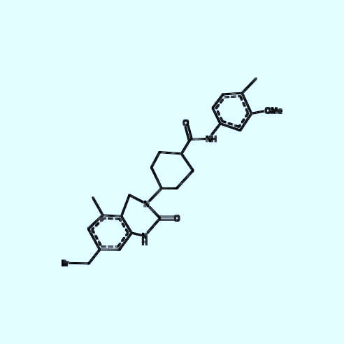 COc1cc(NC(=O)C2CCC(N3Cc4c(C)cc(CBr)cc4NC3=O)CC2)ccc1C